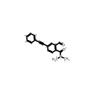 CN(C)C(=O)c1ccc(C#Cc2ccccc2)cc1C=O